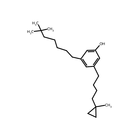 CC(C)(C)CCCCCc1cc(O)cc(CCCCC2(C)CC2)c1